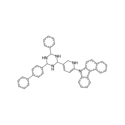 C1=C(C2NC(c3ccccc3)NC(c3ccc(-c4ccccc4)cc3)N2)CNC(n2c3ccccc3c3c4ccccc4ccc32)=C1